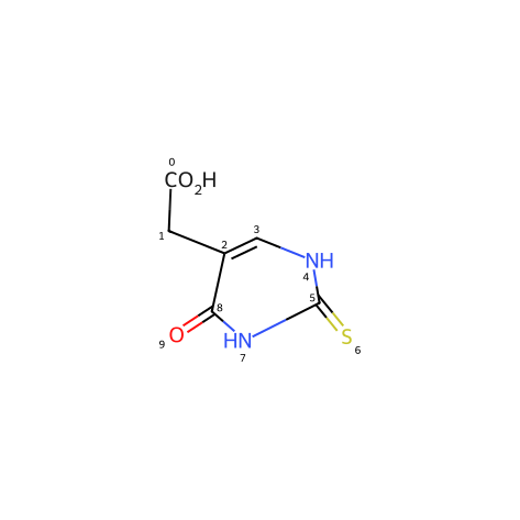 O=C(O)Cc1c[nH]c(=S)[nH]c1=O